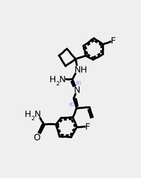 C=C/C(=C\N=C(/N)NC1(c2ccc(F)cc2)CCC1)c1cc(C(N)=O)ccc1F